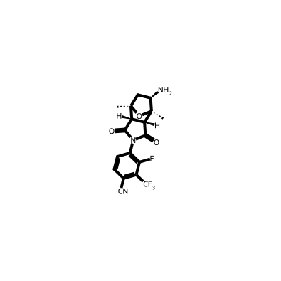 C[C@]12O[C@](C)(C[C@H]1N)[C@H]1C(=O)N(c3ccc(C#N)c(C(F)(F)F)c3F)C(=O)[C@H]12